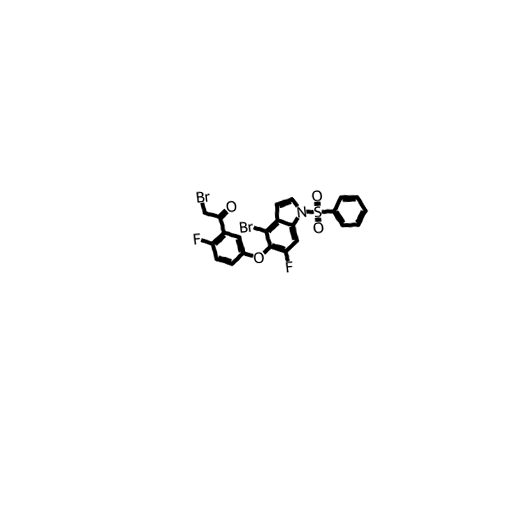 O=C(CBr)c1cc(Oc2c(F)cc3c(ccn3S(=O)(=O)c3ccccc3)c2Br)ccc1F